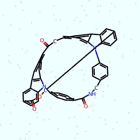 O=C1Cc2ccc3c(c2)c2cc4ccc2n3-c2ccc(cc2)CNC(=O)c2ccc(cc2)-n2c3ccc1cc3c1cc(ccc12)C(=O)OC4